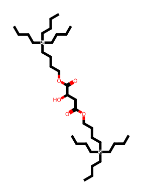 CCCC[Si](CCCC)(CCCC)CCCCOC(=O)CC(O)C(=O)OCCCC[Si](CCCC)(CCCC)CCCC